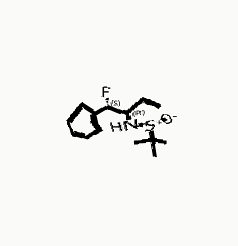 C=C[C@@H](N[S+]([O-])C(C)(C)C)[C@@H](F)c1ccccc1